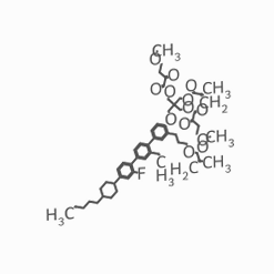 C=C(C)C(=O)OCCCc1cc(-c2ccc(-c3ccc(C4CCC(CCCCC)CC4)cc3F)cc2CC)ccc1OCC(COC(=O)C(=C)C)(COC(=O)C(=O)CCOC)COC(=O)C(=O)CCOC